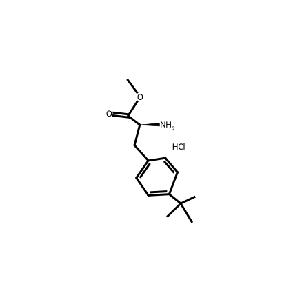 COC(=O)[C@@H](N)Cc1ccc(C(C)(C)C)cc1.Cl